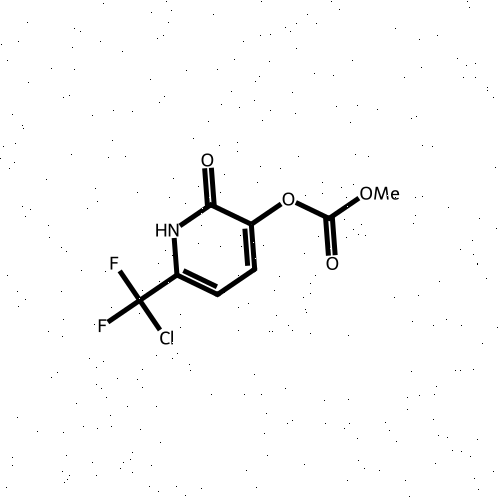 COC(=O)Oc1ccc(C(F)(F)Cl)[nH]c1=O